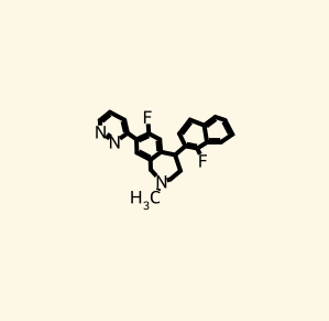 CN1CCC(c2ccc3ccccc3c2F)c2cc(F)c(-c3cccnn3)cc2C1